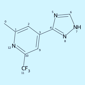 Cc1cc(-c2nc[nH]n2)cc(C(F)(F)F)n1